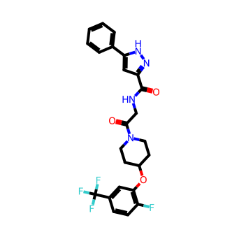 O=C(NCC(=O)N1CCC(Oc2cc(C(F)(F)F)ccc2F)CC1)c1cc(-c2ccccc2)[nH]n1